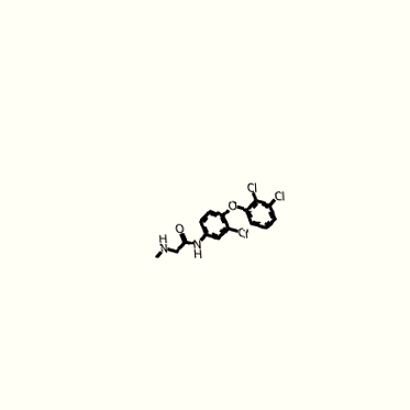 CNCC(=O)Nc1ccc(Oc2cccc(Cl)c2Cl)c(Cl)c1